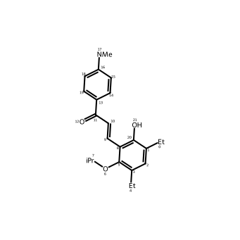 CCc1cc(CC)c(OC(C)C)c(C=CC(=O)c2ccc(NC)cc2)c1O